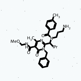 COCNC(=O)c1c(C)nc(C(C(C)C)N(CCCN)C(=O)c2ccc(C)cc2)n(Cc2ccccc2)c1=O